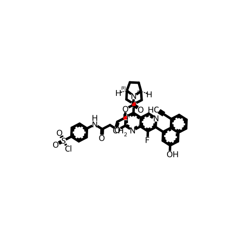 C#Cc1cccc2cc(O)cc(-c3ncc4c(N5C[C@H]6CC[C@@H](C5)N6C(=O)OCC=C)nc(OCC(=O)Nc5ccc(S(=O)(=O)Cl)cc5)nc4c3F)c12